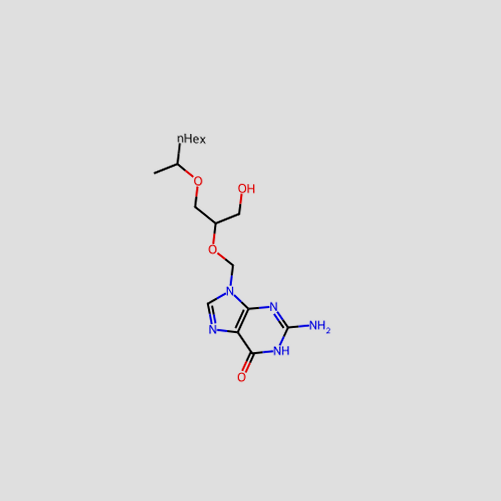 CCCCCCC(C)OCC(CO)OCn1cnc2c(=O)[nH]c(N)nc21